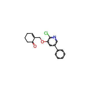 O=C1CCCC=C1COc1cc(-c2ccccc2)cnc1Cl